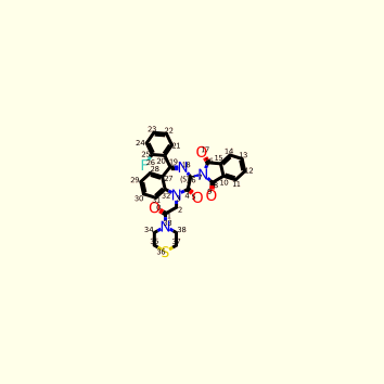 O=C(CN1C(=O)[C@H](N2C(=O)c3ccccc3C2=O)N=C(c2ccccc2F)c2ccccc21)N1CCSCC1